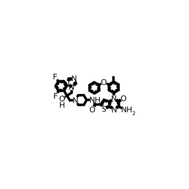 Cc1ccc(-n2c(=O)c(N)nc3sc(C(=O)NC4CCN(C[C@@](O)(Cn5cncn5)c5ccc(F)cc5F)CC4)cc32)cc1Oc1ccccc1